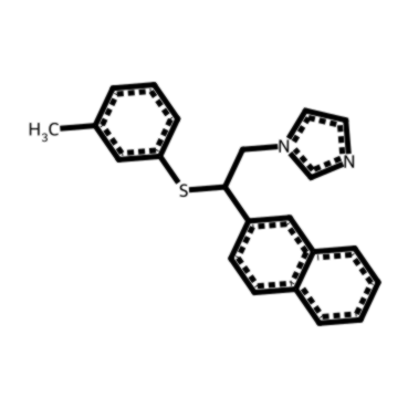 Cc1cccc(SC(Cn2ccnc2)c2ccc3ccccc3c2)c1